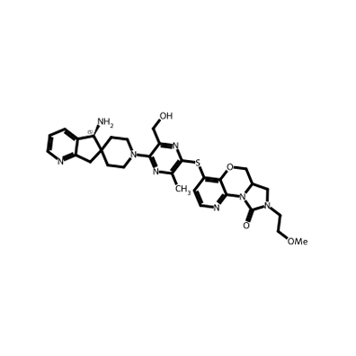 COCCN1CC2COc3c(Sc4nc(CO)c(N5CCC6(CC5)Cc5ncccc5[C@H]6N)nc4C)ccnc3N2C1=O